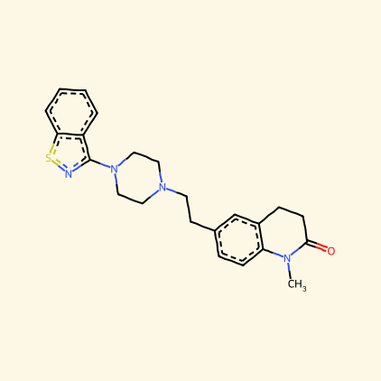 CN1C(=O)CCc2cc(CCN3CCN(c4nsc5ccccc45)CC3)ccc21